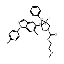 COCCOC(=O)N1C[C@H]2[C@H](c3ccccc3)[C@@]2(c2cc3cnn(-c4ccc(F)cc4)c3cc2C)C1